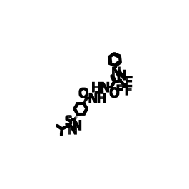 CC(C)c1nnc([C@H]2CC[C@H](C(=O)NCCNC(=O)c3cn(-c4ccccc4)nc3C(F)(F)F)CC2)s1